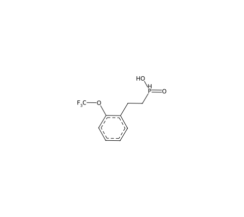 O=[PH](O)CCc1ccccc1OC(F)(F)F